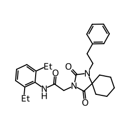 CCc1cccc(CC)c1NC(=O)CN1C(=O)N(CCc2ccccc2)C2(CCCCC2)C1=O